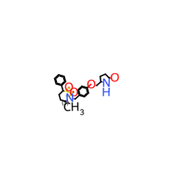 C[C@H]1CCC(c2ccccc2)S(=O)(=O)N1Cc1ccc(OCC2CCC(=O)N2)cc1